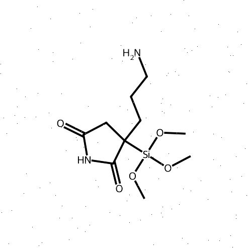 CO[Si](OC)(OC)C1(CCCN)CC(=O)NC1=O